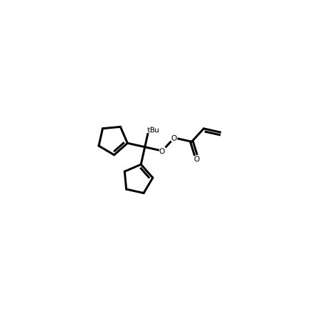 C=CC(=O)OOC(C1=CCCC1)(C1=CCCC1)C(C)(C)C